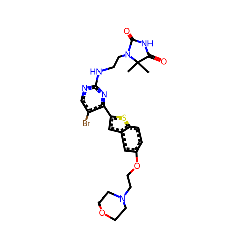 CC1(C)C(=O)NC(=O)N1CCNc1ncc(Br)c(-c2cc3cc(OCCN4CCOCC4)ccc3s2)n1